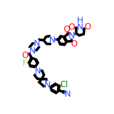 N#Cc1ccc(N2CCC3(CCN(c4ccc(C(=O)N5CCN(CC6CCN(c7ccc8c(c7)C(=O)N(C7CCC(=O)NC7=O)C8=O)CC6)CC5)c(F)c4)CC3)C2)cc1Cl